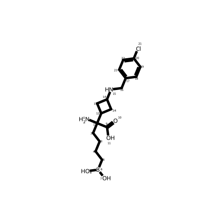 NC(CCCCB(O)O)(C(=O)O)C1CC(NCc2ccc(Cl)cc2)C1